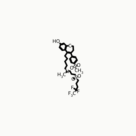 CN(CCCCCC1=C(c2ccc(S(C)(=O)=O)cc2)CCCc2cc(O)ccc21)CCCS(=O)(=O)CCCC(F)(F)C(F)(F)F